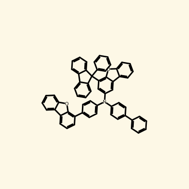 c1ccc(-c2ccc(N(c3ccc(-c4cccc5c4oc4ccccc45)cc3)c3cc(C4(c5ccccc5)c5ccccc5-c5ccccc54)c4oc5ccccc5c4c3)cc2)cc1